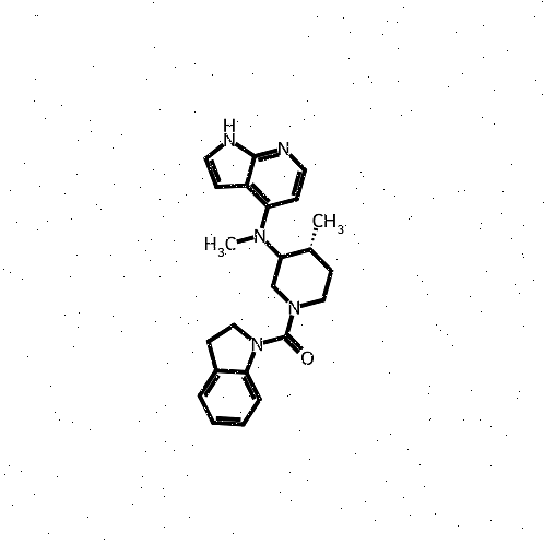 C[C@@H]1CCN(C(=O)N2CCc3ccccc32)CC1N(C)c1ccnc2[nH]ccc12